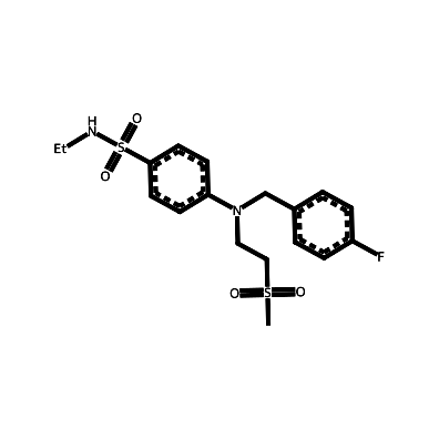 CCNS(=O)(=O)c1ccc(N(CCS(C)(=O)=O)Cc2ccc(F)cc2)cc1